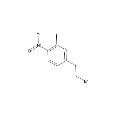 Cc1nc(CCBr)ccc1[N+](=O)[O-]